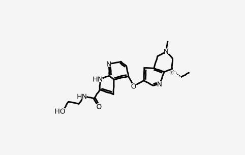 CC[C@H]1CN(C)Cc2cc(Oc3ccnc4[nH]c(C(=O)NCCO)cc34)cnc21